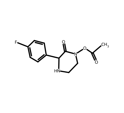 CC(=O)ON1CCNC(c2ccc(F)cc2)C1=O